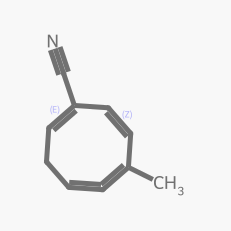 CC1=C=CC/C=C(C#N)\C=C/1